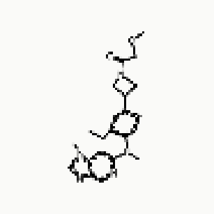 CCc1cc(C2CN(C(=O)COC)C2)ccc1N(C)c1cc2c(cn1)ncn2C